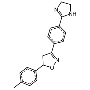 Cc1ccc(C2CC(c3ccc(C4=NCCN4)cc3)=NO2)cc1